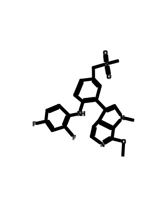 COc1nccc2c(-c3cc(CS(C)(=O)=O)ccc3Nc3ccc(F)cc3F)cn(C)c12